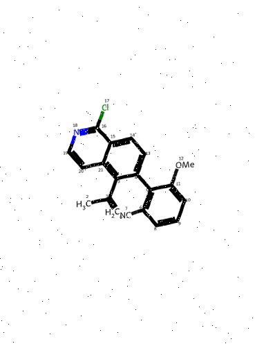 C=C(C)c1c(-c2c(C#N)cccc2OC)ccc2c(Cl)nccc12